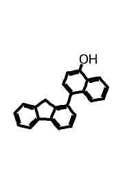 Oc1ccc(-c2cccc3c2Cc2ccccc2-3)c2ccccc12